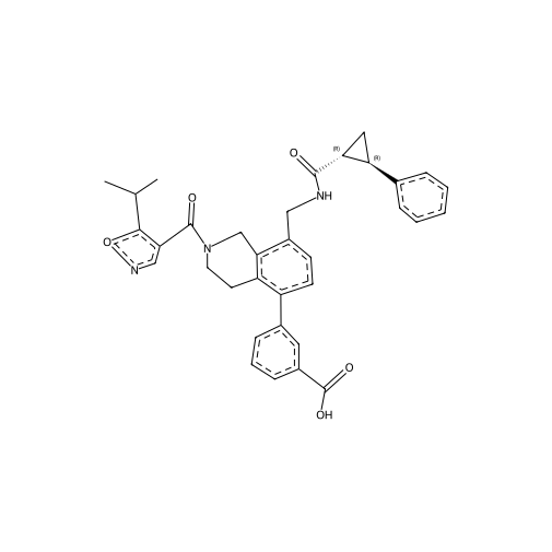 CC(C)c1oncc1C(=O)N1CCc2c(-c3cccc(C(=O)O)c3)ccc(CNC(=O)[C@@H]3C[C@H]3c3ccccc3)c2C1